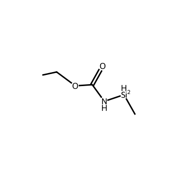 CCOC(=O)N[SiH2]C